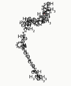 CC(C)[C@H](NC(=O)[C@H](N)CCCCNC(=O)COC1CCCCCc2c1nnn2CCOCCOCCOCCOCCC(=O)NCC[N+](C)(C)C)C(=O)N[C@@H](C)C(=O)Nc1ccc2c(c1)[C@@]1(C)CCC[C@](C)(C(=O)NC(=O)[C@@]3(C)CCC[C@]4(C)c5cc(O)ccc5CC[C@@H]34)[C@@H]1CC2